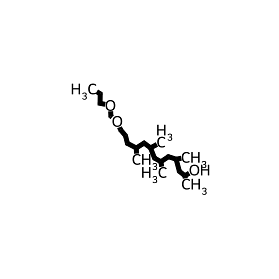 CCCOCOCCCC(C)CC(C)CC(C)CC(C)CC(C)O